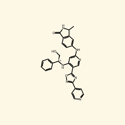 CC1NC(=O)c2ccc(Nc3cc(N[C@H](CO)c4ccccc4)c(-c4nc(-c5ccncc5)no4)cn3)cc21